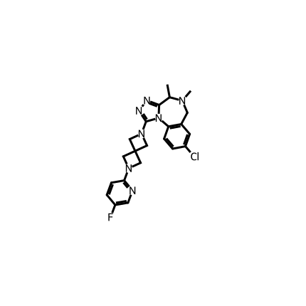 CC1c2nnc(N3CC4(CN(c5ccc(F)cn5)C4)C3)n2-c2ccc(Cl)cc2CN1C